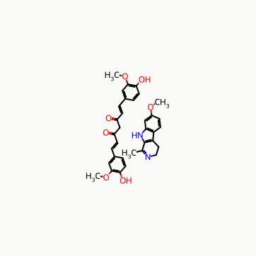 COc1cc(C=CC(=O)CC(=O)C=Cc2ccc(O)c(OC)c2)ccc1O.COc1ccc2c3c([nH]c2c1)C(C)=NCC3